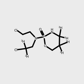 [2H]C([2H])(Cl)CN(CCCl)P1(=O)NC([2H])([2H])C([2H])([2H])CO1